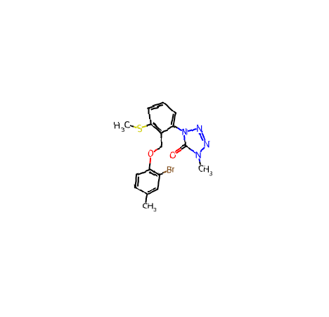 CSc1cccc(-n2nnn(C)c2=O)c1COc1ccc(C)cc1Br